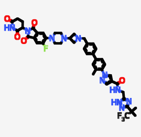 Cc1cc(-c2ccc(CN3CC(N4CCN(c5cc6c(cc5F)C(=O)N(C5CCC(=O)NC5=O)C6=O)CC4)C3)cc2)ccc1-n1cc(C(=O)NCc2nc(C(C)(C)C(F)(F)F)n[nH]2)cn1